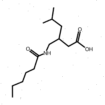 CCCCCC(=O)NCC(CC(=O)O)CC(C)C